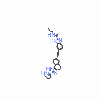 CCCN[C@@H](C)c1nc2ccc(C#Cc3ccc4c(c3)CCc3nc([C@@H]5CCCN5)[nH]c3-4)cc2[nH]1